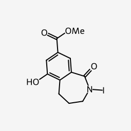 COC(=O)c1cc(O)c2c(c1)C(=O)N(I)CCC2